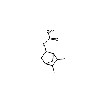 COC(=O)OC1CC2CC1C(C)C2C